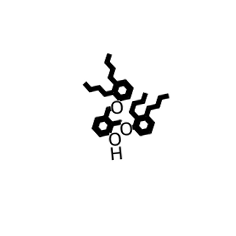 CCCCc1cccc(OCc2cccc(O)c2COc2cccc(CCCC)c2CCCC)c1CCCC